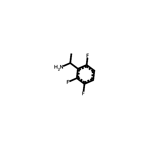 CC(N)c1c(F)ccc(F)c1F